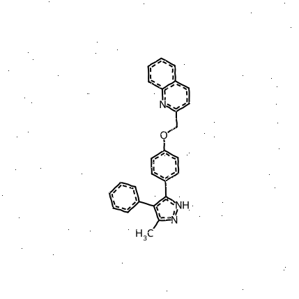 Cc1n[nH]c(-c2ccc(OCc3ccc4ccccc4n3)cc2)c1-c1ccccc1